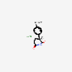 CC[C@@]1(c2ccc(NC(C)=O)cc2)CCC(=O)NC1=O.Cl